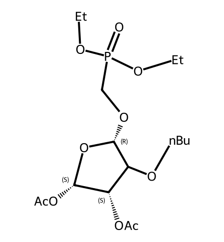 CCCCOC1[C@@H](OCP(=O)(OCC)OCC)O[C@@H](OC(C)=O)[C@H]1OC(C)=O